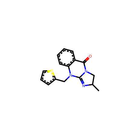 CC1CN2C(=O)c3ccccc3N(Cc3cccs3)C2=N1